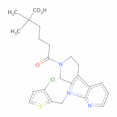 CC(C)(CCCC(=O)N1CCc2c(n(Cc3sccc3Cl)c3ncccc23)C1)C(=O)O